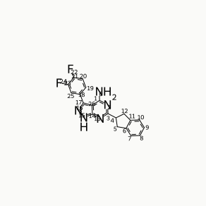 Nc1nc(C2Cc3ccccc3C2)nc2[nH]nc(-c3ccc(F)c(F)c3)c12